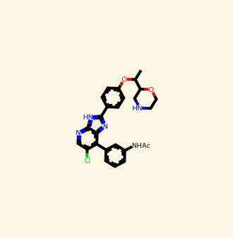 CC(=O)Nc1cccc(-c2c(Cl)cnc3[nH]c(-c4ccc(OC(C)C5CNCCO5)cc4)nc23)c1